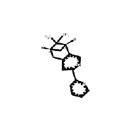 CC1(C)[C@H]2Cc3cc(-c4ccccn4)ncc3[C@@H]1C2